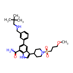 COCCCS(=O)(=O)N1CCC(c2c[nH]c3c(C(N)=O)cc(-c4cccc(CNCC(C)(C)C)c4)cc23)CC1